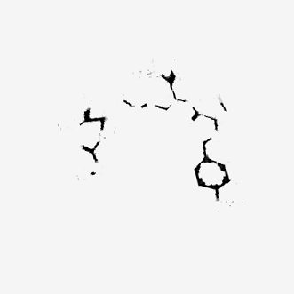 COC(=O)[C@H](CSSC[C@H](NC(=O)[C@H](CC(C)C)OCc1ccc(OC)cc1)C(=O)OC)NC(=O)OC(C)(C)C